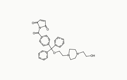 O=C1C=CC(=O)N1C(=O)c1ccc(C(OCCN2CCN(CCO)CC2)(c2ccccc2)c2ccccc2)cc1